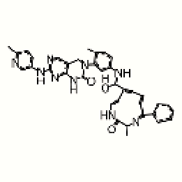 Cc1ccc(Nc2ncc3c(n2)NC(=O)N(c2cc(NC(O)C4=C/C=C/C(c5ccccc5)=N\[C@@H](C)C(=O)N\C=C\4)ccc2C)C3)cn1